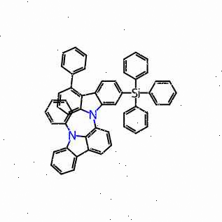 c1ccc(-c2cccc3c2c2ccc([Si](c4ccccc4)(c4ccccc4)c4ccccc4)cc2n3-c2cccc3c4ccccc4n(-c4ccccc4)c23)cc1